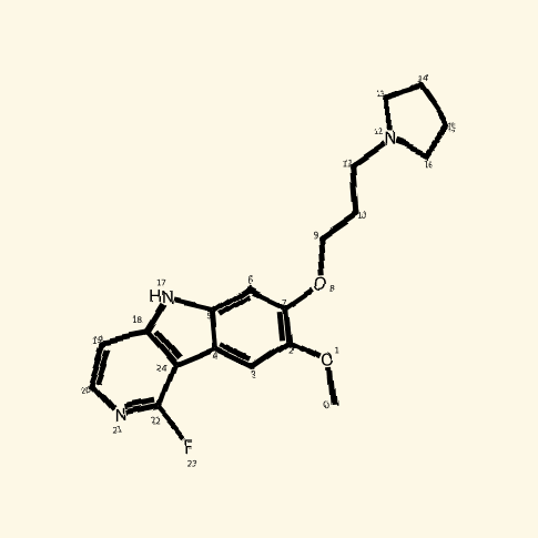 COc1cc2c(cc1OCCCN1CCCC1)[nH]c1ccnc(F)c12